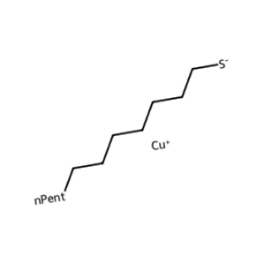 CCCCCCCCCCCC[S-].[Cu+]